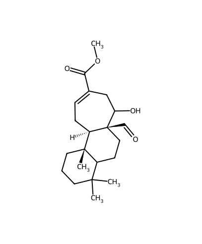 COC(=O)C1=CC[C@@H]2[C@@]3(C)CCCC(C)(C)C3CC[C@@]2(C=O)C(O)C1